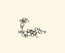 CC1C(C2=CCC(CF)CC2)=CCC2(C)C1CCC1(C)C2CCC2[C@H]3CCCC3(NCCN3CCC(S(C)(=O)=O)CC3)CC[C@]21C